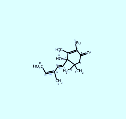 CC1=C(C(C)(C)C)C(=O)CC(C)(C)C1(O)/C=C/C(C)=C\C(=O)O